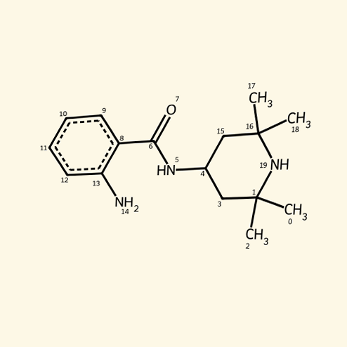 CC1(C)CC(NC(=O)c2ccccc2N)CC(C)(C)N1